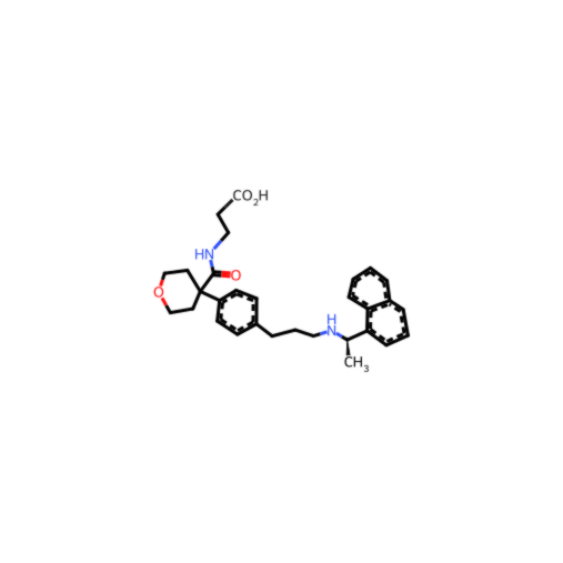 C[C@@H](NCCCc1ccc(C2(C(=O)NCCC(=O)O)CCOCC2)cc1)c1cccc2ccccc12